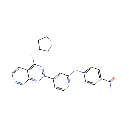 NC(=O)c1ccc(Nc2cc(-c3nc(N[C@@H]4CCNC4)c4ccncc4n3)ccn2)cc1